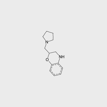 c1ccc2c(c1)NCC(CN1CCCC1)O2